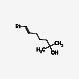 CC/C=C/CCCC(C)(C)O